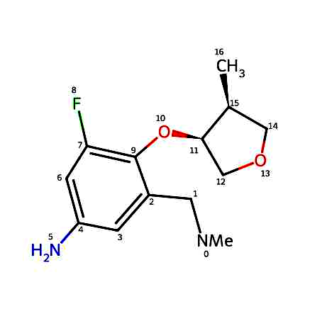 CNCc1cc(N)cc(F)c1O[C@@H]1COC[C@@H]1C